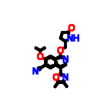 Cc1nc(-c2cnc(OCC3CCC(=O)N3)c3cc(OC(C)C)c(C#N)cc23)oc1C